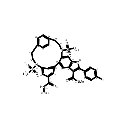 CNC(=O)c1c(-c2ccc(F)cc2)oc2cc3c(cc12)-c1cc(C(=O)NC(C)(C)C)cc(c1)N(S(C)(=O)=O)CCc1ccc(cc1)CCN3S(C)(=O)=O